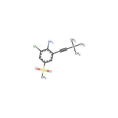 C[Si](C)(C)C#Cc1cc(S(C)(=O)=O)cc(Cl)c1N